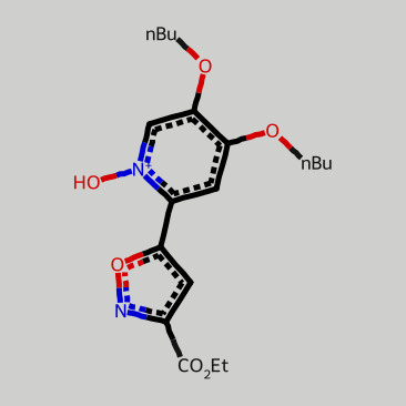 CCCCOc1cc(-c2cc(C(=O)OCC)no2)[n+](O)cc1OCCCC